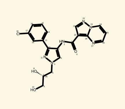 O=C(Nc1cn(C[C@@H](O)CO)nc1-c1cccc(Cl)c1)c1cnn2cccnc12